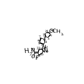 COc1ccc(-c2cccc(-n3cnc4cc(F)c(C(N)=O)cc43)c2)cc1